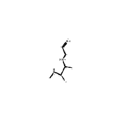 CN[C@H](I)C(C)NCC=N